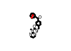 CN(Cc1ccc(C(=O)N2CC3CCC(CC3)C2)cc1)C(=O)N(C)c1ncccn1